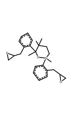 CC1(C)CC[Si](C)(c2ccccc2CC2CO2)OC1(C)c1ccccc1CC1CO1